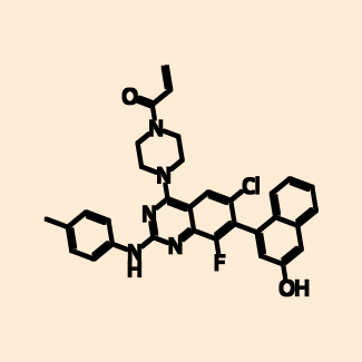 C=CC(=O)N1CCN(c2nc(Nc3ccc(C)cc3)nc3c(F)c(-c4cc(O)cc5ccccc45)c(Cl)cc23)CC1